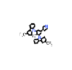 N#Cc1c(-n2c3ccccc3c3cc(C(F)(F)F)ccc32)cc(-c2ccncc2)cc1-n1c2ccccc2c2cc(C(F)(F)F)ccc21